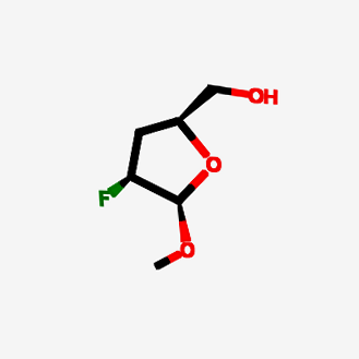 CO[C@@H]1O[C@H](CO)C[C@@H]1F